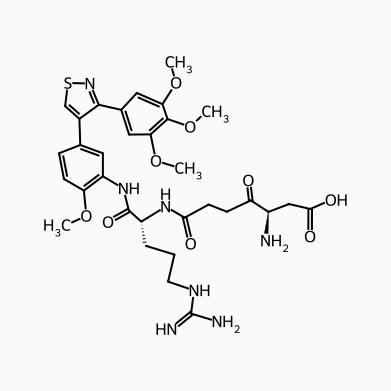 COc1ccc(-c2csnc2-c2cc(OC)c(OC)c(OC)c2)cc1NC(=O)[C@@H](CCCNC(=N)N)NC(=O)CCC(=O)[C@H](N)CC(=O)O